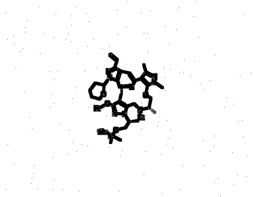 C=Cc1nn(C2CCCCO2)c2cnc(-c3c(C)nn(C)c3OC[C@H](C)N(CC)Cc3c(I)c(OCC)nn3[C@@H](C)CO[Si](C)(C)C(C)(C)C)cc12